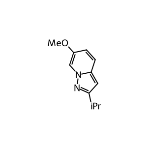 COc1ccc2cc(C(C)C)nn2c1